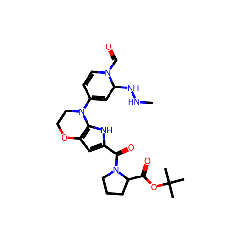 CNNC1C=C(N2CCOc3cc(C(=O)N4CCCC4C(=O)OC(C)(C)C)[nH]c32)C=CN1C=O